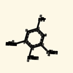 [CH2]CCc1cc(CCCCCCCCC)c(CCCCCCCCC)c(CCCCCCCCC)c1